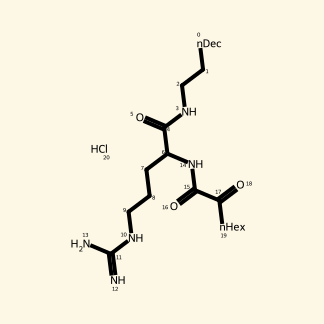 CCCCCCCCCCCCNC(=O)C(CCCNC(=N)N)NC(=O)C(=O)CCCCCC.Cl